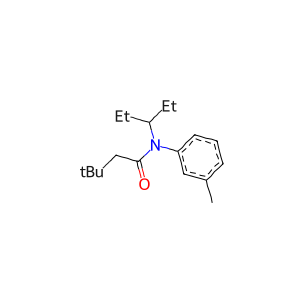 CCC(CC)N(C(=O)CC(C)(C)C)c1cccc(C)c1